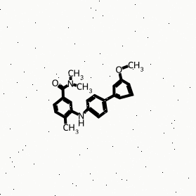 COc1cccc(-c2ccc(Nc3cc(C(=O)N(C)C)ccc3C)cc2)c1